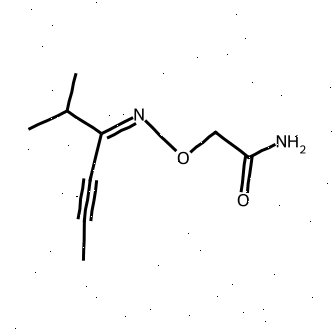 CC#C/C(=N\OCC(N)=O)C(C)C